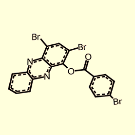 O=C(Oc1c(Br)cc(Br)c2nc3ccccc3nc12)c1ccc(Br)cc1